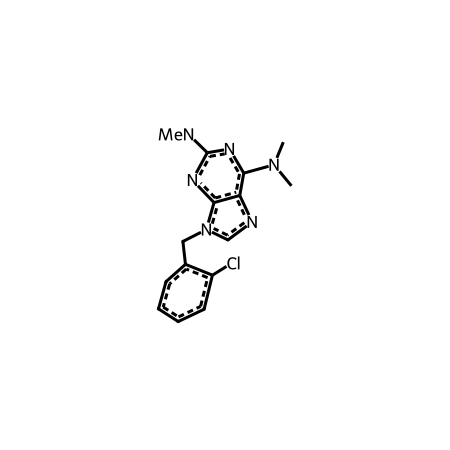 CNc1nc(N(C)C)c2ncn(Cc3ccccc3Cl)c2n1